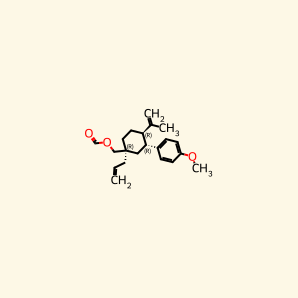 C=CC[C@]1(COC=O)CC[C@@H](C(=C)C)[C@H](c2ccc(OC)cc2)C1